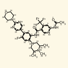 CC(=O)Nc1cc(C(F)(F)F)c(C(=O)Nc2cc(-c3cnc(N4CCOCC4)nc3)c(F)cc2N2CC(C)N(C)C(C)C2)cn1